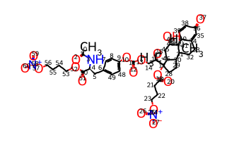 CC(=O)N[C@@H](Cc1ccc(OC(=O)OCC(=O)[C@@]2(OC(=O)CCCO[N+](=O)[O-])CCC3C4CCC5=CC(=O)C=C[C@]5(C)[C@H]4[C@@H](O)C[C@@]32C)cc1)C(=O)OCCCCO[N+](=O)[O-]